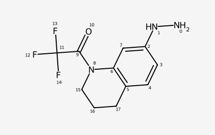 NNc1ccc2c(c1)N(C(=O)C(F)(F)F)CCC2